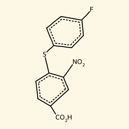 O=C(O)c1ccc(Sc2ccc(F)cc2)c([N+](=O)[O-])c1